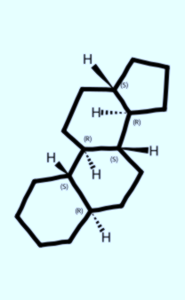 C1CC[C@H]2[C@H](C1)CC[C@@H]1[C@@H]2CC[C@@H]2CCC[C@H]21